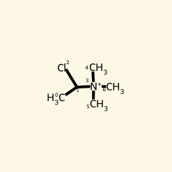 C[C](Cl)[N+](C)(C)C